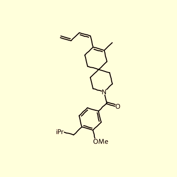 C=C/C=C\C1=C(C)CC2(CC1)CCN(C(=O)c1ccc(CC(C)C)c(OC)c1)CC2